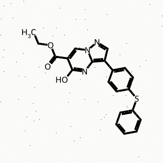 CCOC(=O)c1cn2ncc(-c3ccc(Sc4ccccc4)cc3)c2nc1O